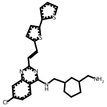 NCC1CCCC(CNc2nc(C=Cc3ccc(-c4cccs4)s3)nc3cc(Cl)ccc23)C1